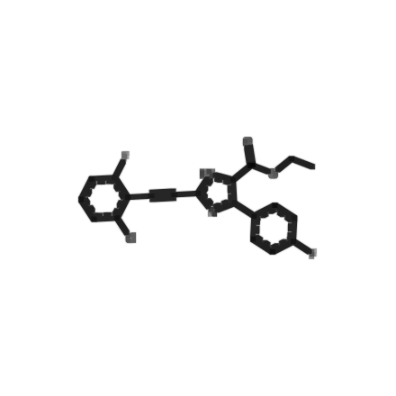 CCOC(=O)c1[nH]c(C#Cc2c(F)cccc2Cl)nc1-c1ccc(F)cc1